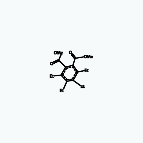 CCc1c(CC)c(CC)c(C(=O)OC)c(C(=O)OC)c1CC